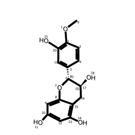 COc1ccc([C@H]2Oc3cc(O)cc(O)c3C[C@@H]2O)cc1O